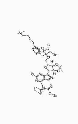 CCOP(=O)(OCC)[C@@](CO)(Cc1nnn(COCC[Si](C)(C)C)n1)OC[C@H]1O[C@@H](n2ncc3c(N(C(=O)OC(C)(C)C)C4CCC4)nc(Cl)nc32)[C@@H]2OC(C)(C)O[C@@H]21